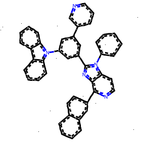 c1ccc(-n2c(-c3cc(-c4cccnc4)cc(-n4c5ccccc5c5ccccc54)c3)nc3c(-c4ccc5ccccc5c4)nccc32)cc1